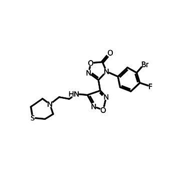 O=c1onc(-c2nonc2NCCN2CCSCC2)n1-c1ccc(F)c(Br)c1